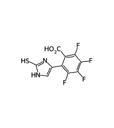 O=C(O)c1c(F)c(F)c(F)c(F)c1-c1c[nH]c(S)n1